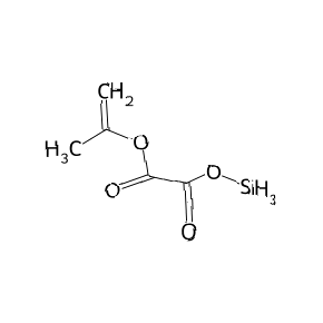 C=C(C)OC(=O)C(=O)O[SiH3]